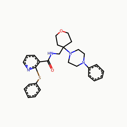 O=C(NCC1(N2CCN(c3ccccc3)CC2)CCOCC1)c1cccnc1Sc1ccccc1